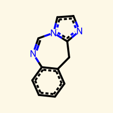 C1=Nc2ccccc2Cc2nccn21